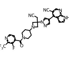 N#CCC1(n2cc(-c3c(C#N)cnc4[nH]ccc34)cn2)CN(C2CCN(C(=O)c3ccnc(C(F)(F)F)c3F)CC2)C1